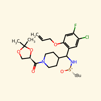 C=CCOc1cc(F)c(Cl)cc1C(N[S@@+]([O-])C(C)(C)C)C1CCN(C(=O)[C@H]2COC(C)(C)O2)CC1